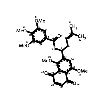 COc1cc(C(=O)SC(CC=C(C)C)c2cc(OC)c3c(c2OC)C(=O)C=CC3=O)cc(OC)c1OC